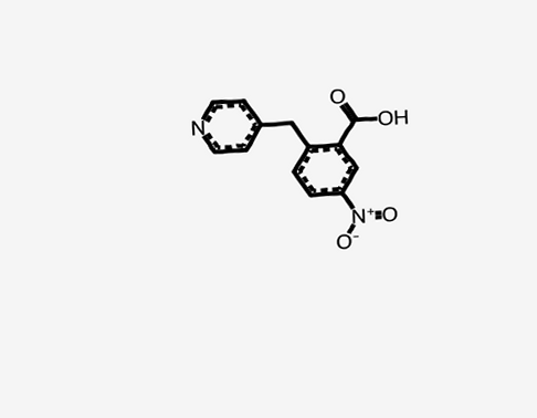 O=C(O)c1cc([N+](=O)[O-])ccc1Cc1ccncc1